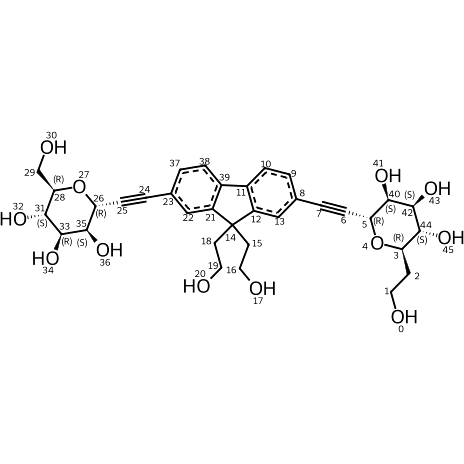 OCC[C@H]1O[C@H](C#Cc2ccc3c(c2)C(CCO)(CCO)c2cc(C#C[C@H]4O[C@H](CO)[C@@H](O)[C@H](O)[C@@H]4O)ccc2-3)[C@@H](O)[C@@H](O)[C@@H]1O